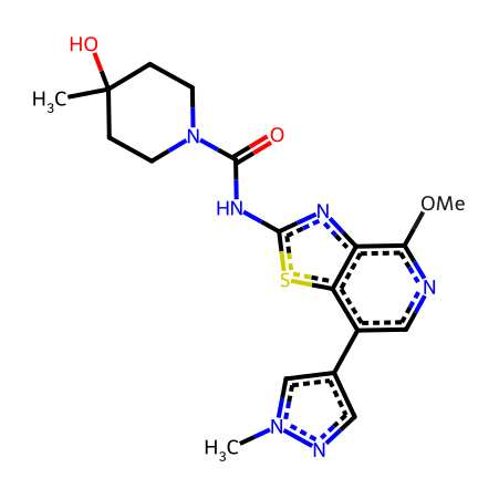 COc1ncc(-c2cnn(C)c2)c2sc(NC(=O)N3CCC(C)(O)CC3)nc12